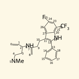 C=CC(CCNC)NC(=C)CCc1c(-c2ccccc2)[nH]c2c(C(F)(F)F)cc(F)cc12